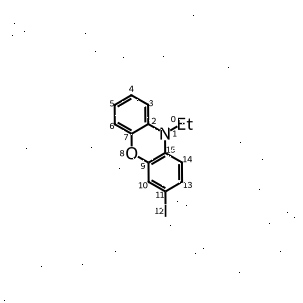 CCN1c2ccccc2Oc2cc(I)ccc21